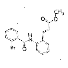 COC(=O)/C=C/c1ccccc1NC(=O)c1ccccc1Br